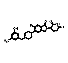 Cc1cc(O)cc(CN2CCC(c3cc4c(cc3F)C(=O)N(C3CCC(=O)NC3=O)C4)CC2)c1